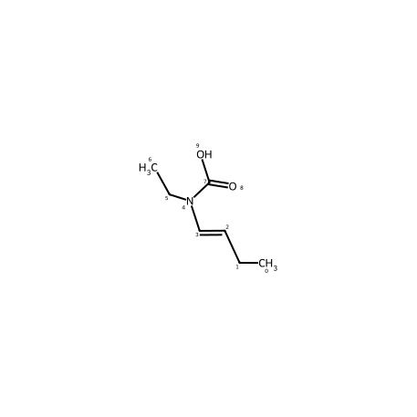 CCC=CN(CC)C(=O)O